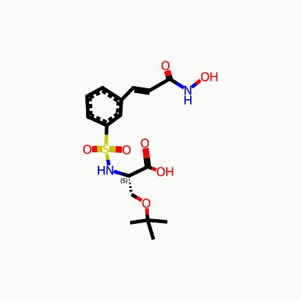 CC(C)(C)OC[C@H](NS(=O)(=O)c1cccc(C=CC(=O)NO)c1)C(=O)O